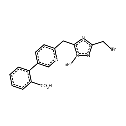 CCCn1nc(CC(C)C)nc1Cc1ccc(-c2ccccc2C(=O)O)cn1